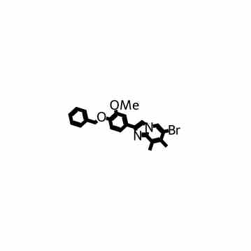 COc1cc(-c2cn3cc(Br)c(C)c(C)c3n2)ccc1OCc1ccccc1